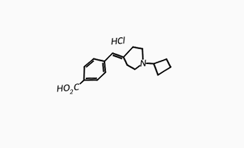 Cl.O=C(O)c1ccc(C=C2CCN(C3CCC3)CC2)cc1